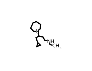 CCNCCC(CC1CC1)N1CCCCCC1